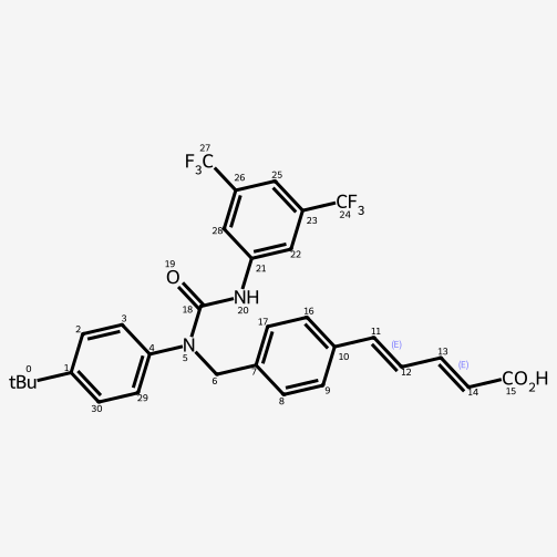 CC(C)(C)c1ccc(N(Cc2ccc(/C=C/C=C/C(=O)O)cc2)C(=O)Nc2cc(C(F)(F)F)cc(C(F)(F)F)c2)cc1